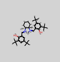 CC(C)(C)c1cc(C=[N+]2[Cu][N+](=Cc3cc(C(C)(C)C)cc(C(C)(C)C)c3O)[C@H]3CCCC[C@@H]32)c(O)c(C(C)(C)C)c1